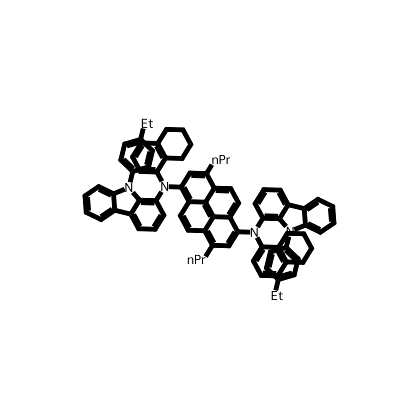 CCCc1cc(N(c2cccc3c2CCCC3)c2cccc3c4ccccc4n(-c4ccc(CC)cc4)c23)c2ccc3c(CCC)cc(N(c4cccc5c4CCCC5)c4cccc5c6ccccc6n(-c6ccc(CC)cc6)c45)c4ccc1c2c34